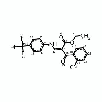 CCOC(=O)C(=CNc1ccc(C(F)(F)F)cc1)C(=O)c1ccccc1Cl